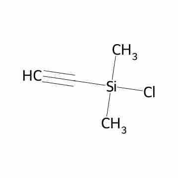 C#C[Si](C)(C)Cl